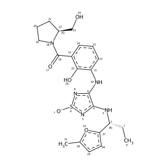 CC[C@@H](Nc1n[s+]([O-])nc1Nc1cccc(C(=O)N2CCC[C@H]2CO)c1O)c1ccc(C)o1